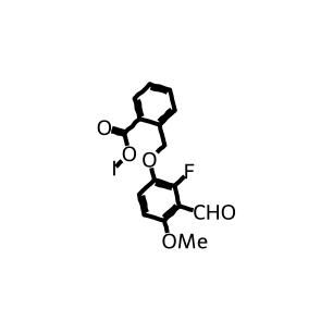 COc1ccc(OCc2ccccc2C(=O)OI)c(F)c1C=O